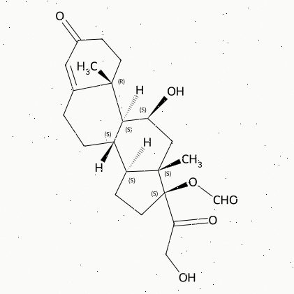 C[C@]12CCC(=O)C=C1CC[C@@H]1[C@@H]2[C@@H](O)C[C@@]2(C)[C@H]1CC[C@@]2(OC=O)C(=O)CO